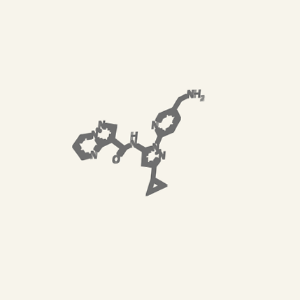 NCc1ccc(-n2nc(C3CC3)cc2NC(=O)c2cnn3cccnc23)nc1